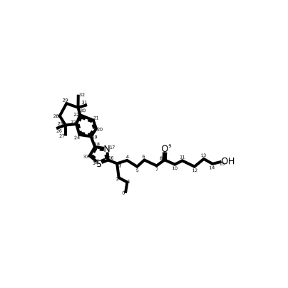 CCCC(CCCCC(=O)CCCCCO)c1nc(-c2ccc3c(c2)C(C)(C)CCC3(C)C)cs1